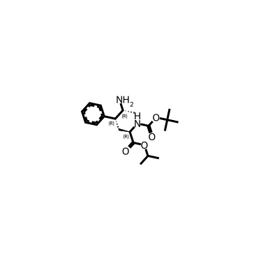 CC(C)OC(=O)[C@@H](C[C@H](c1ccccc1)[C@@H](C)N)NC(=O)OC(C)(C)C